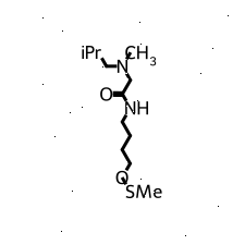 CSOCCCCNC(=O)CN(C)CC(C)C